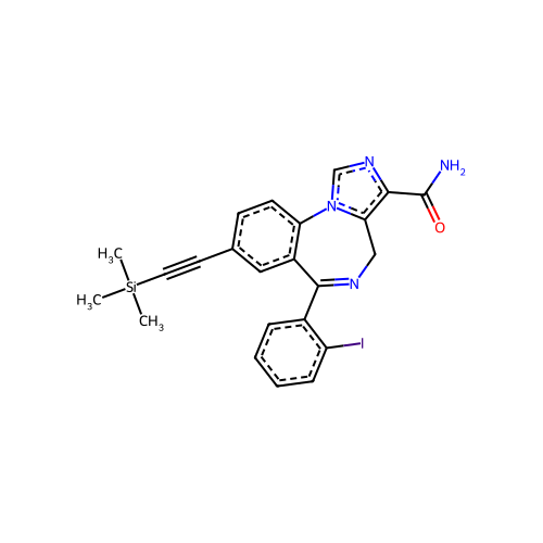 C[Si](C)(C)C#Cc1ccc2c(c1)C(c1ccccc1I)=NCc1c(C(N)=O)ncn1-2